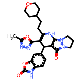 Cc1nnc(C2=C(CCC3CCOCC3)Nc3c(c(=O)n4n3CCC4)C2c2ccc3[nH]c(=O)oc3c2)o1